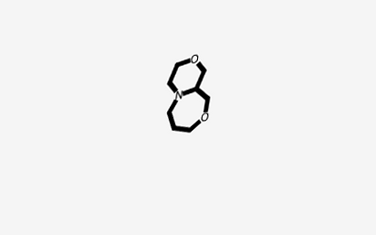 C1COCC2COCCN2C1